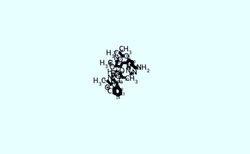 COC(=O)[C@H](C)NP(=O)(OCc1ccccc1)OC[C@@](C#N)(OC)[C@@H](OC(=O)C(C)C)[C@@H](OC(=O)C(C)C)c1ccc2c(N)ncnn12